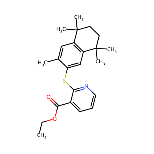 CCOC(=O)c1cccnc1Sc1cc2c(cc1C)C(C)(C)CCC2(C)C